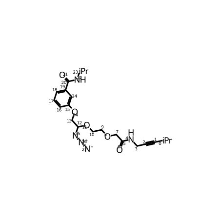 CC(C)C#CCNC(=O)COCCOC(COc1cccc(C(=O)NC(C)C)c1)N=[N+]=[N-]